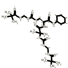 CC(C)(C)C(=O)OCOC(=O)SC[C@H](NC(=O)C(C)(C)SC(=O)OCOC(=O)C(C)(C)C)C(=O)OC1CCCCC1